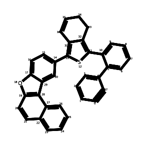 c1cccc(-c2ccccc2-c2sc(-c3ccc4oc5ccc6ccccc6c5c4c3)c3c2CCC=C3)c#1